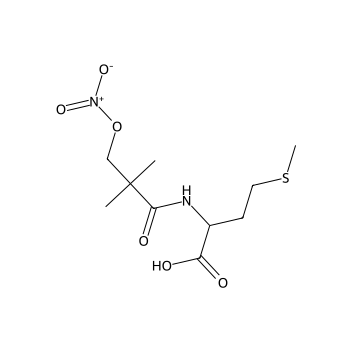 CSCCC(NC(=O)C(C)(C)CO[N+](=O)[O-])C(=O)O